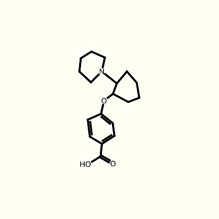 O=C(O)c1ccc(OC2CCCCC2N2CCCCC2)cc1